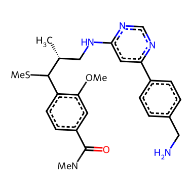 CNC(=O)c1ccc(C(SC)[C@H](C)CNc2cc(-c3ccc(CN)cc3)ncn2)c(OC)c1